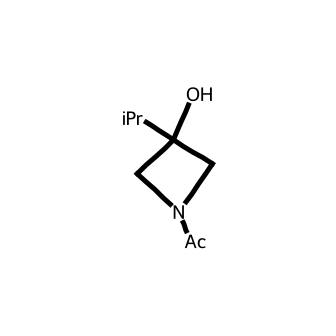 CC(=O)N1CC(O)(C(C)C)C1